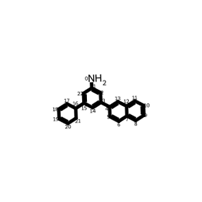 Nc1cc(-c2ccc3ccccc3c2)cc(C2C=CC=CC2)c1